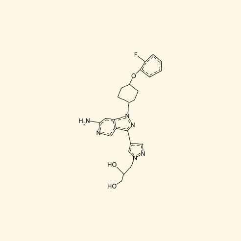 Nc1cc2c(cn1)c(-c1cnn(CC(O)CO)c1)nn2C1CCC(Oc2ccccc2F)CC1